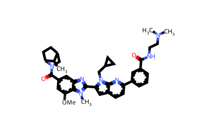 COc1cc(C(=O)N2CC3CCC2C3C)cc2nc(-c3cc4ccc(-c5cccc(C(=O)NCCN(C)C)c5)nc4n3CC3CC3)n(C)c12